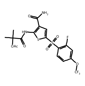 CC(=O)OC(C)(C)C(=O)Nc1sc(S(=O)(=O)c2ccc(OC(F)(F)F)cc2F)cc1C(N)=O